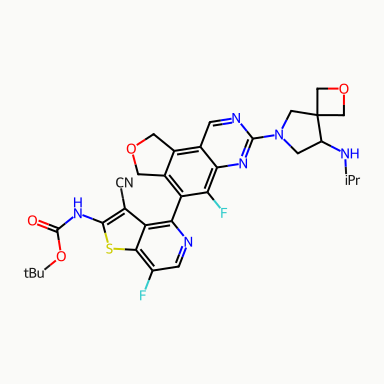 CC(C)NC1CN(c2ncc3c4c(c(-c5ncc(F)c6sc(NC(=O)OC(C)(C)C)c(C#N)c56)c(F)c3n2)COC4)CC12COC2